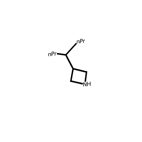 CCCC(CCC)C1CNC1